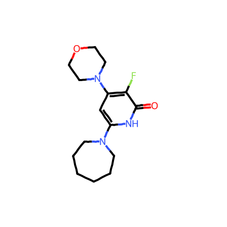 O=c1[nH]c(N2CCCCCC2)cc(N2CCOCC2)c1F